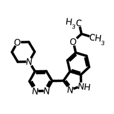 CC(C)Oc1ccc2[nH]nc(-c3cc(N4CCOCC4)cnn3)c2c1